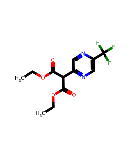 CCOC(=O)C(C(=O)OCC)c1cnc(C(F)(F)F)cn1